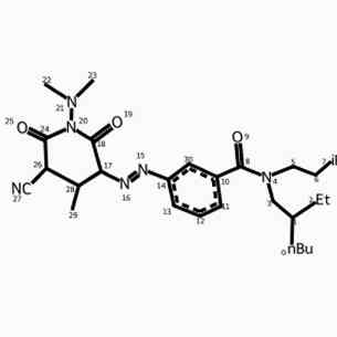 CCCCC(CC)CN(CCC(C)C)C(=O)c1cccc(/N=N/C2C(=O)N(N(C)C)C(=O)C(C#N)C2C)c1